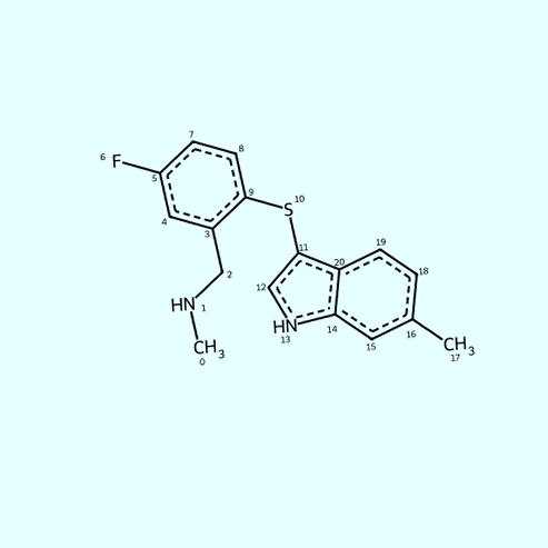 CNCc1cc(F)ccc1Sc1c[nH]c2cc(C)ccc12